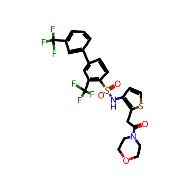 O=C(Cc1sccc1NS(=O)(=O)c1ccc(-c2cccc(C(F)(F)F)c2)cc1C(F)(F)F)N1CCOCC1